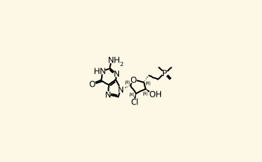 C=P(C)(C)CC[C@H]1O[C@@H](n2cnc3c(=O)[nH]c(N)nc32)[C@H](Cl)[C@@H]1O